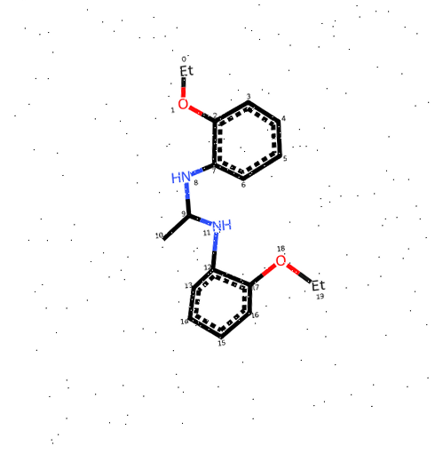 CCOc1ccccc1NC(C)Nc1ccccc1OCC